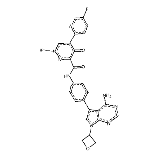 CC(C)n1cc(-c2ccc(F)cn2)c(=O)c(C(=O)Nc2ccc(-c3cn(C4COC4)c4ncnc(N)c34)cc2)n1